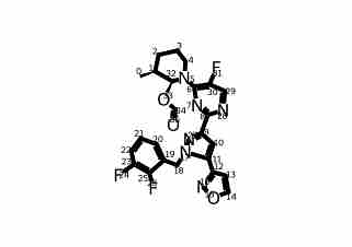 C[C@H]1CCCN(c2nc(-c3cc(-c4ccon4)n(Cc4cccc(F)c4F)n3)ncc2F)[C@H]1OC=O